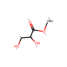 CCCCOC(=O)C(O)CO